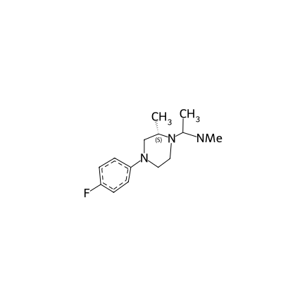 CNC(C)N1CCN(c2ccc(F)cc2)C[C@@H]1C